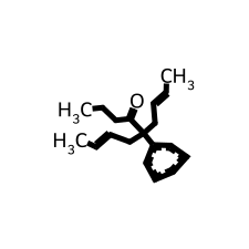 C/C=C/CC(C/C=C/C)(C(=O)CCC)c1ccccc1